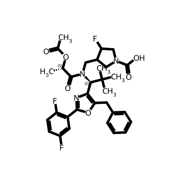 CC(=O)O[C@@H](C)C(=O)N(CC1CN(C(=O)O)CC1F)[C@H](c1nc(-c2cc(F)ccc2F)oc1Cc1ccccc1)C(C)(C)C